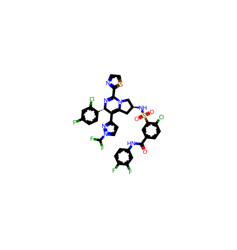 O=C(Nc1ccc(F)c(F)c1)c1ccc(Cl)c(S(=O)(=O)N[C@H]2CC3=C(c4ccn(C(F)F)n4)[C@H](c4ccc(F)cc4Cl)N=C(c4nccs4)N3C2)c1